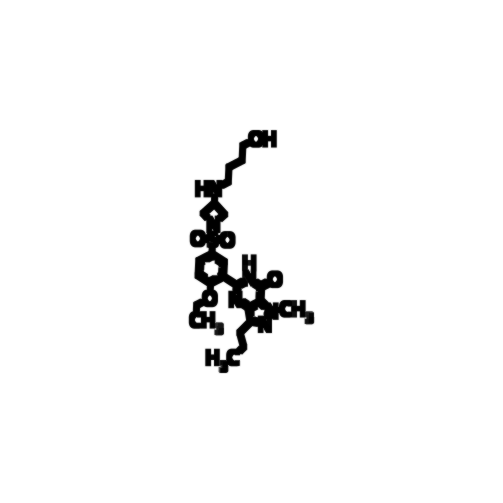 CCCc1nn(C)c2c(=O)[nH]c(-c3cc(S(=O)(=O)N4CC(NCCCCO)C4)ccc3OCC)nc12